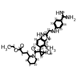 CCOC(=O)CCC1CCCCN1C(=O)C1(c2ccc3[nH]c(CNc4ccc(C(=N)N)cc4)nc3c2C)CC1.Cl